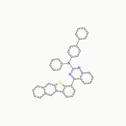 c1ccc(-c2ccc(N(c3ccccc3)c3nc(-c4cccc5c4sc4cc6ccccc6cc45)c4ccccc4n3)cc2)cc1